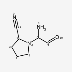 N#CC1CCCN1C(N)C=O